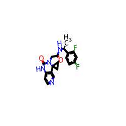 C[C@H](NC(=O)CN1C(=O)Nc2ccncc2C12CC2)c1ccc(F)cc1F